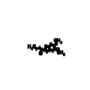 CCCC(=O)c1cc2cc(OC)c(SC)cc2s1